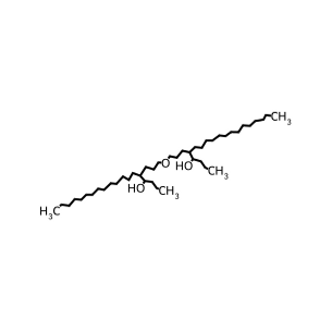 CCCCCCCCCCCCCCC(CCCOCCCC(CCCCCCCCCCCCCC)C(O)CCC)C(O)CCC